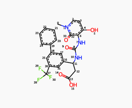 Cn1ccc(O)c(NC(=O)NC(CC(=O)O)c2cc(-c3ccccc3)cc(C(F)(F)F)c2)c1=O